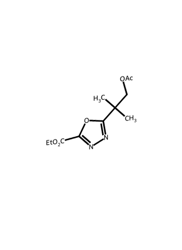 CCOC(=O)c1nnc(C(C)(C)COC(C)=O)o1